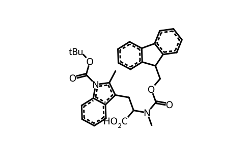 Cc1c(CC(C(=O)O)N(C)C(=O)OCC2c3ccccc3-c3ccccc32)c2ccccc2n1C(=O)OC(C)(C)C